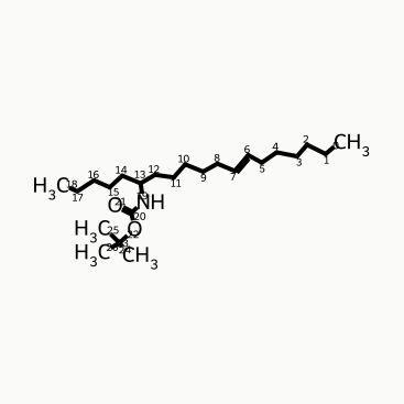 CCCCCCC=CCCCCCC(CCCCC)NC(=O)OC(C)(C)C